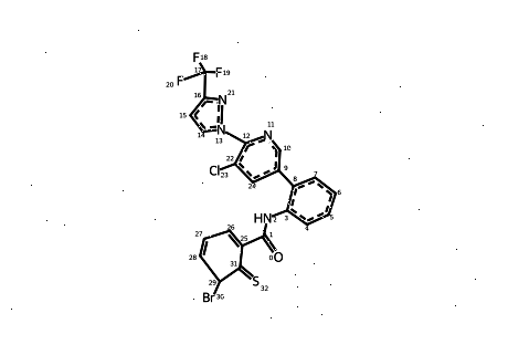 O=C(Nc1ccccc1-c1cnc(-n2ccc(C(F)(F)F)n2)c(Cl)c1)C1=CC=CC(Br)C1=S